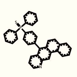 S=P(c1ccccc1)(c1ccccc1)c1ccc(-c2c3cccnc3cc3c2ccc2ccccc23)cc1